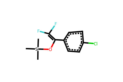 C[Si](C)(C)OC(=C(F)F)c1ccc(Cl)cc1